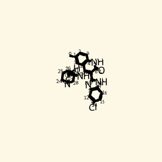 Cc1ccc2[nH]c(=O)c(-c3nc4cc(Cl)ccc4[nH]3)c(N[C@@H]3CN4CCC3CC4)c2c1